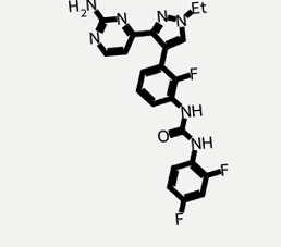 CCn1cc(-c2cccc(NC(=O)Nc3ccc(F)cc3F)c2F)c(-c2ccnc(N)n2)n1